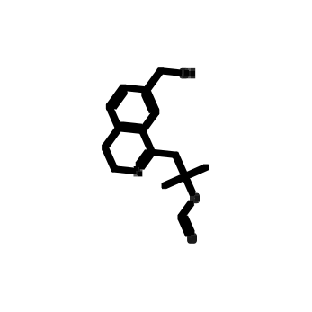 CC(C)(CC1=NCCc2ccc(CO)cc21)OC=O